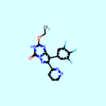 O=c1[nH]c(OCC(F)(F)F)nc2c(-c3cc(F)c(F)c(F)c3)c(-c3cccnn3)nn12